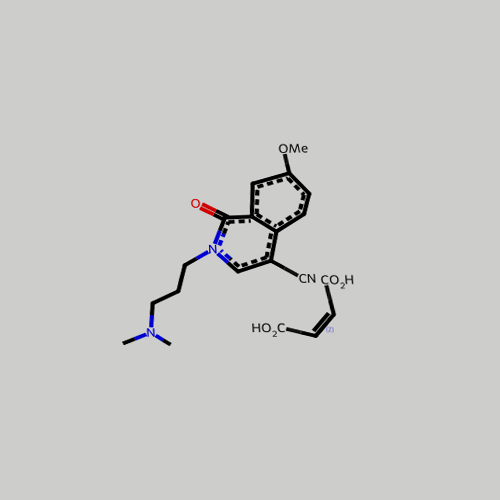 COc1ccc2c(C#N)cn(CCCN(C)C)c(=O)c2c1.O=C(O)/C=C\C(=O)O